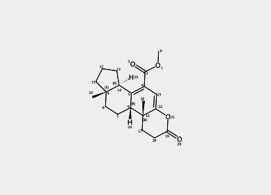 COC(=O)C1=C2[C@@H](CC[C@]3(C)CCC[C@@H]23)[C@@]2(C)CCC(=O)OC2=C1